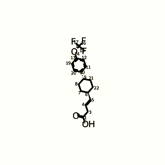 O=C(O)CC=C[C@H]1CC[C@H](c2ccc(OC(F)(F)F)cc2)CC1